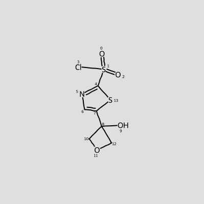 O=S(=O)(Cl)c1ncc(C2(O)COC2)s1